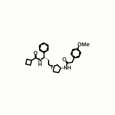 COc1ccc(CC(=O)N[C@@H]2CCN(CC[C@H](NC(=O)C3CCC3)c3ccccc3)C2)cc1